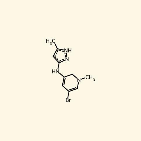 Cc1cc(NC2=CC(Br)=CN(C)C2)n[nH]1